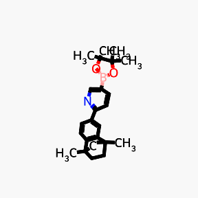 CC12CCC(C)(CC1)c1cc(-c3ccc(B4OC(C)(C)C(C)(C)O4)cn3)ccc12